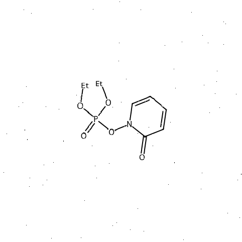 CCOP(=O)(OCC)On1ccccc1=O